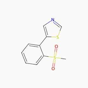 CS(=O)(=O)c1ccccc1-c1cncs1